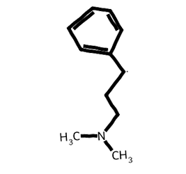 CN(C)CC[CH]c1ccccc1